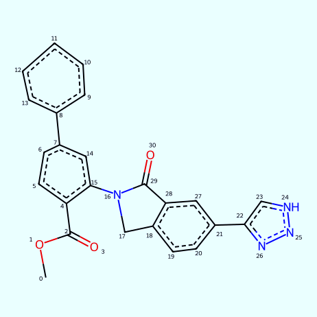 COC(=O)c1ccc(-c2ccccc2)cc1N1Cc2ccc(-c3c[nH]nn3)cc2C1=O